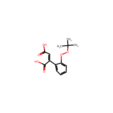 CC(C)(C)OOc1ccccc1C(=CC(=O)O)C(=O)O